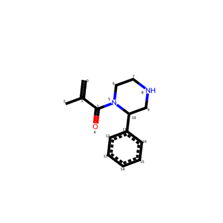 C=C(C)C(=O)N1CCNCC1c1ccccc1